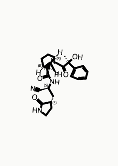 C[C@@](O)(C(=O)N1[C@@H]2CC[C@H]([C@@H]1C(=O)N[C@H](C#N)C[C@@H]1CCNC1=O)C(F)(F)C2)c1ccccc1